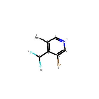 CC(=O)c1cncc(Br)c1C(F)F